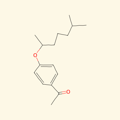 CC(=O)c1ccc(OC(C)CCCC(C)C)cc1